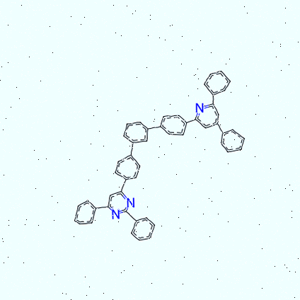 c1ccc(-c2cc(-c3ccccc3)nc(-c3ccc(-c4cccc(-c5ccc(-c6cc(-c7ccccc7)nc(-c7ccccc7)n6)cc5)c4)cc3)c2)cc1